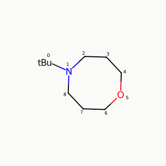 CC(C)(C)N1CCCOCCC1